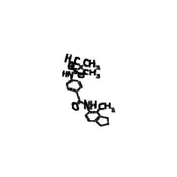 Cc1c(NC(=O)c2ccc(NS(=O)(=O)C(C)(C)C)cc2)ccc2c1CCC2